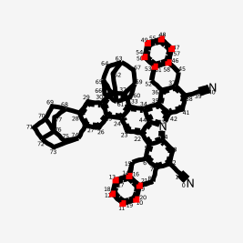 N#Cc1cc2c(c3c1C1c4ccccc4C3c3ccccc31)c1cc3c4cc5c(cc4c4c(c3c3c6c7c(c(C#N)cc6n2c13)C1c2ccccc2C7c2ccccc21)C1CC2CC(CC4C2)C1)C1CC2CC3CC5CC23C1